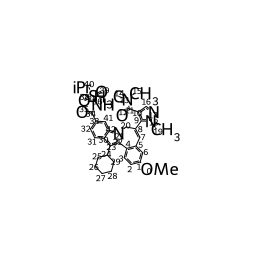 COc1ccc2c(c1)C=C(c1c(C(=O)N(C)C)cnn1C)Cn1c-2c(C2CCCCC2)c2ccc(C(=O)NS(=O)(=O)C(C)C)cc21